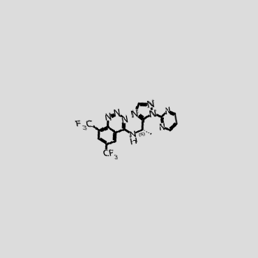 C[C@H](Nc1nnnc2c(C(F)(F)F)cc(C(F)(F)F)cc12)c1ncnn1-c1ncccn1